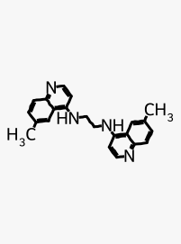 Cc1ccc2nccc(NCCNc3ccnc4ccc(C)cc34)c2c1